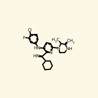 C=C1NCCN(c2ccc(Nc3ccc(Cl)c(F)c3)c(C(=N)C3CCCCC3)n2)C1C